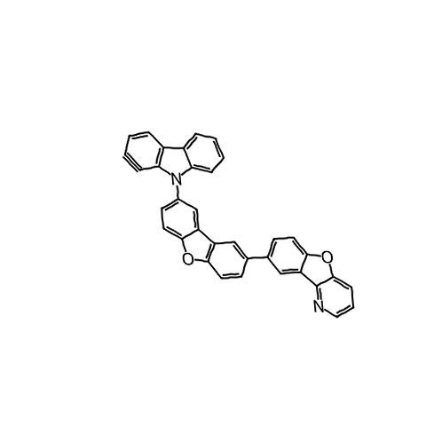 c1ccc2c3ccccc3n(-c3ccc4oc5ccc(-c6ccc7oc8cccnc8c7c6)cc5c4c3)c2c#1